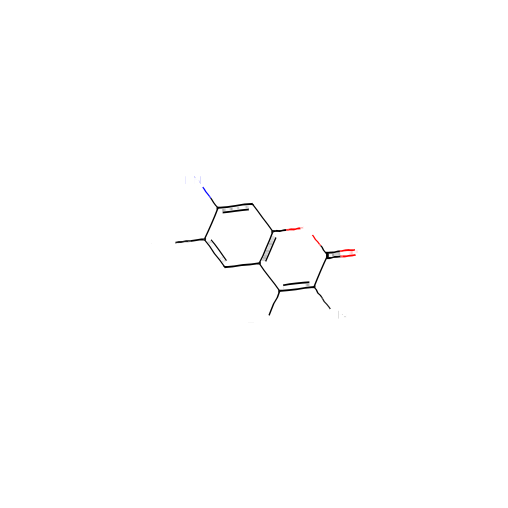 Cc1c(C(C)(C)C)c(=O)oc2cc(N)c(S(=O)(=O)O)cc12